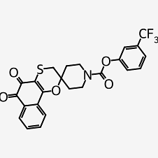 O=C1C(=O)c2ccccc2C2=C1SCC1(CCN(C(=O)Oc3cccc(C(F)(F)F)c3)CC1)O2